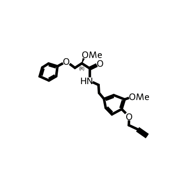 C#CCOc1ccc(CCNC(=O)[C@@H](COc2ccccc2)OC)cc1OC